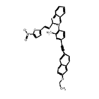 CCOc1ccc2cc(C#Cc3ccc(N4C=c5ccccc5=NC4C=Cc4ccc([N+](=O)[O-])s4)c(C)c3)ccc2c1